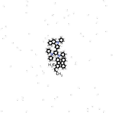 C=C/C=C\c1ccc2c(c1C)-c1ccc(N(c3ccccc3)c3cc(-c4ccc5c(c4)c4c6ccccc6ccc4n5-c4ccccc4)cc(N(c4ccccc4)c4ccccc4)c3)cc1C21c2ccccc2-c2ccccc21